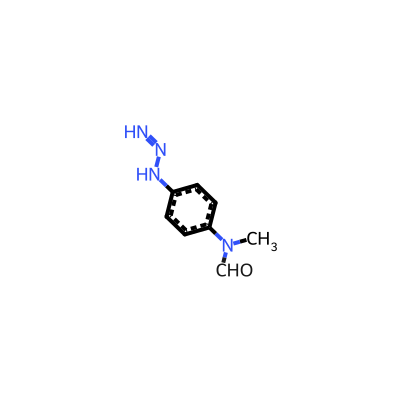 CN(C=O)c1ccc(NN=N)cc1